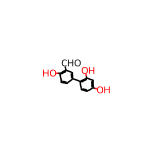 O=Cc1cc(-c2ccc(O)cc2O)ccc1O